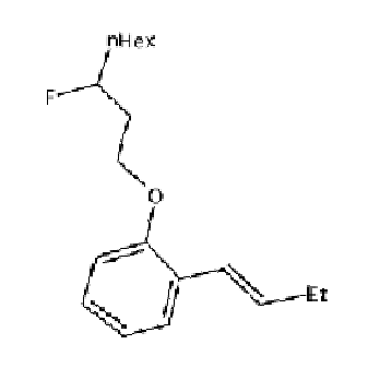 CCC=Cc1ccccc1OCCC(F)CCCCCC